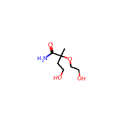 CC(CCO)(OCCO)C(N)=O